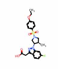 CCOc1ccc(S(=O)(=O)N2C[C@@H](C)[C@@H](n3nc(CC(=O)O)c4ccc(F)cc43)C2)cc1